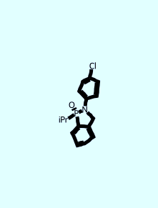 CC(C)P1(=O)c2ccccc2CN1c1ccc(Cl)cc1